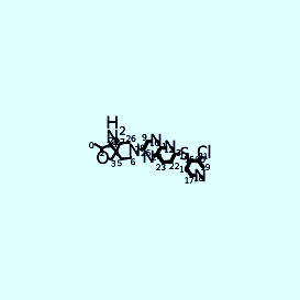 CC1OCC2(CCN(c3cnc4nc(Sc5ccncc5Cl)ccc4n3)CC2)C1N